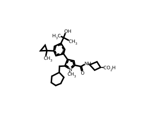 Cn1c(C(=O)N[C@H]2C[C@H](C(=O)O)C2)cc(-c2cc(C(C)(C)O)cc(C3(C)CC3)c2)c1CC1CCCCC1